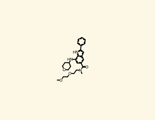 COCCOCCN(C)C(=O)c1cc(NC2CCOCC2)c2[nH]c(-c3ccccc3)cc2c1